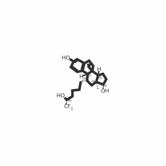 C=CC12CCc3cc(O)ccc3[C@H]1[C@@H](CCCC[C@@H](O)C(F)(F)F)C[C@]1(C)[C@@H](O)CC[C@@H]21